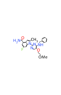 COCCOc1cnc(-n2c(C)cc3c(C(N)=O)cc(F)cc32)nc1NCc1ccccc1